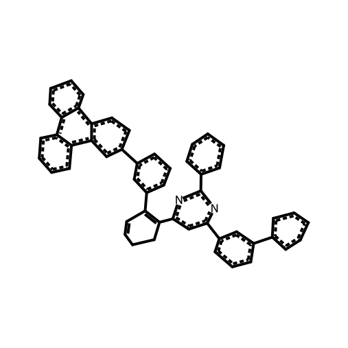 C1=CC(c2cccc(-c3ccc4c5ccccc5c5ccccc5c4c3)c2)=C(c2cc(-c3cccc(-c4ccccc4)c3)nc(-c3ccccc3)n2)CC1